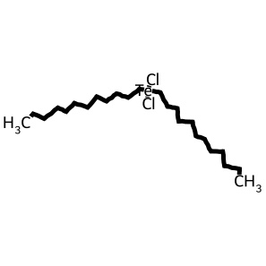 CCCCCCCCCCCC[Te](Cl)(Cl)CCCCCCCCCCCC